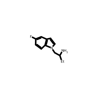 CCC(N)Cn1ccc2cc(F)ccc21